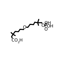 CC(C)(CCCCOCCCCC(C)(C)CC(=O)O)COP(=O)(O)O